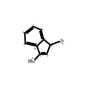 CC(C)(C)C1=C[CH]([Zr])c2ccccc21